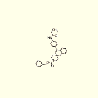 CCC(=O)Nc1ccc(C2=CC3(CCN(C(=O)OCc4ccccc4)CC3)Cc3ccccc32)cc1